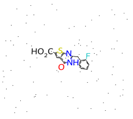 O=C(O)c1cc2c(=O)[nH]c(Cc3ccccc3F)nc2s1